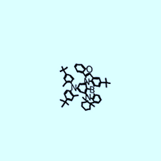 Cc1cc(C(C)(C)C)ccc1N(c1cc2c3c(c1)-n1c4c(cc(C(C)(C)C)cc4c4oc5ccccc5c41)B3c1cccc3c1N2C1(C)CCCCC31C)c1ccc(C(C)(C)C)cc1C